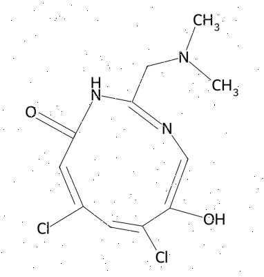 CN(C)Cc1ncc(O)c(Cl)cc(Cl)cc(=O)[nH]1